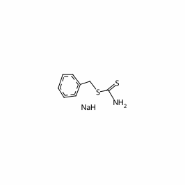 NC(=S)SCc1ccccc1.[NaH]